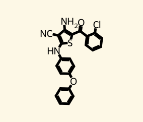 N#Cc1c(Nc2ccc(Oc3ccccc3)cc2)sc(C(=O)c2ccccc2Cl)c1N